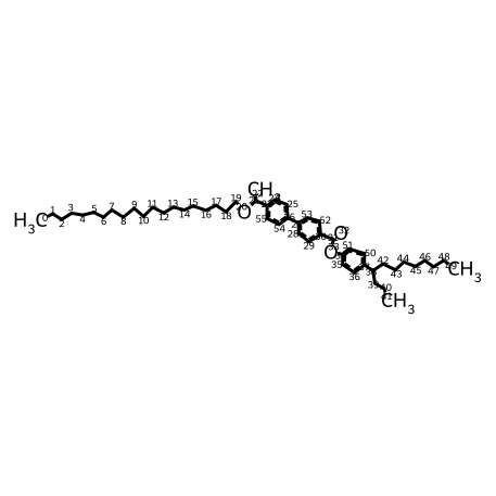 CCCCCCCCCCCCCCCCCCCCOC(C)c1ccc(-c2ccc(C(=O)Oc3ccc(C(CCC)CCCCCCCC)cc3)cc2)cc1